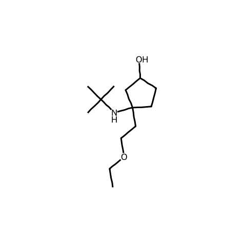 CCOCCC1(NC(C)(C)C)CCC(O)C1